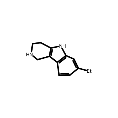 CCc1ccc2c3c([nH]c2c1)CCNC3